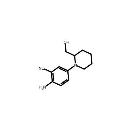 N#Cc1cc(N2CCCCC2CO)ccc1N